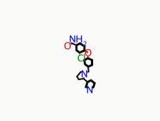 NC(=O)c1ccc(Oc2ccc(CN3CCCC3c3cccnc3)cc2)c(Cl)c1